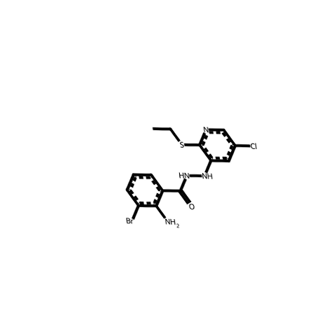 CCSc1ncc(Cl)cc1NNC(=O)c1cccc(Br)c1N